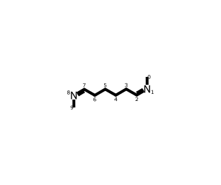 C/N=C\CCCC/C=N\C